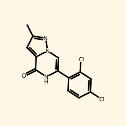 Cc1cc2c(=O)[nH]c(-c3ccc(Cl)cc3Cl)cn2n1